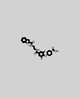 O=C(NCCNC(=O)C1Cc2ccccc2S1)c1cc(F)c(O[C@H]2CC[C@@H](C(=O)O)CC2)c(F)c1